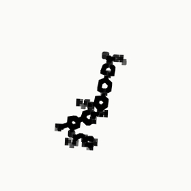 COc1cc(N2CCC(N3CCN(C(C)=O)CC3)CC2)ccc1Nc1ncc(-c2ccc(C#N)c(OC(C)Cn3cnnn3)c2)cn1